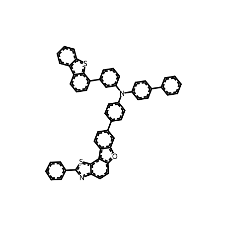 c1ccc(-c2ccc(N(c3ccc(-c4ccc5c(c4)oc4ccc6nc(-c7ccccc7)sc6c45)cc3)c3cccc(-c4cccc5c4sc4ccccc45)c3)cc2)cc1